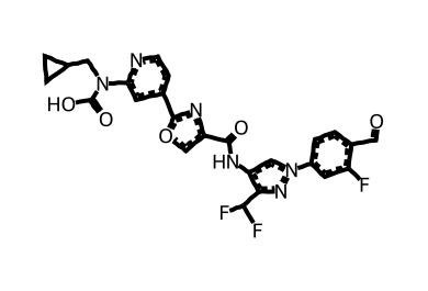 O=Cc1ccc(-n2cc(NC(=O)c3coc(-c4ccnc(N(CC5CC5)C(=O)O)c4)n3)c(C(F)F)n2)cc1F